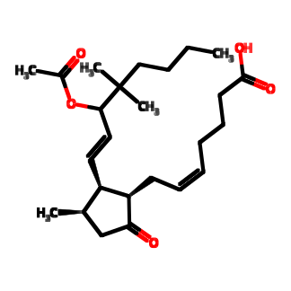 CCCCC(C)(C)C(/C=C/[C@@H]1[C@H](C)CC(=O)[C@@H]1C/C=C\CCCC(=O)O)OC(C)=O